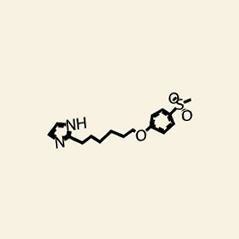 CS(=O)(=O)c1ccc(OCCCCCCc2ncc[nH]2)cc1